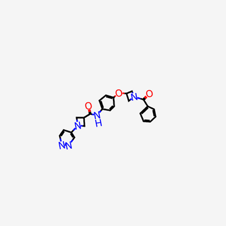 O=C(Nc1ccc(OC2CN(C(=O)c3ccccc3)C2)cc1)C1CN(c2ccnnc2)C1